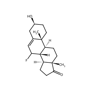 C[C@]12CC[C@H](O)CC1=CC(F)[C@@H]1[C@@H]2CC[C@]2(C)C(=O)CC[C@@H]12